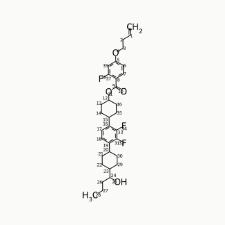 C=CCCOc1ccc(C(=O)OC2CCC(c3ccc(C4CCC(C(O)CCC)CC4)c(F)c3F)CC2)c(F)c1